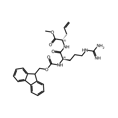 C=CC[C@H](NC(=O)[C@@H](CCCNC(=N)N)NC(=O)OCC1c2ccccc2-c2ccccc21)C(=O)OC